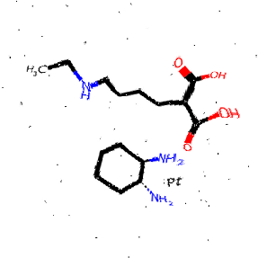 CCNCCCCC(C(=O)O)C(=O)O.N[C@@H]1CCCC[C@H]1N.[Pt]